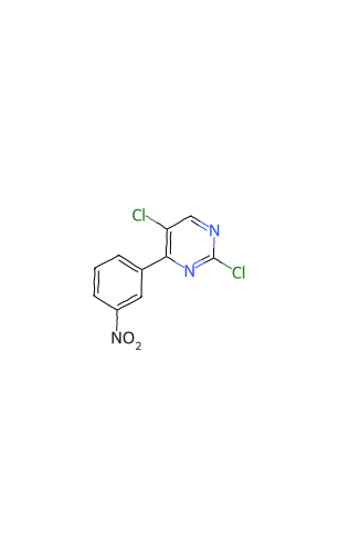 O=[N+]([O-])c1cccc(-c2nc(Cl)ncc2Cl)c1